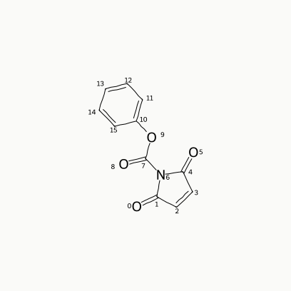 O=C1C=CC(=O)N1C(=O)Oc1ccccc1